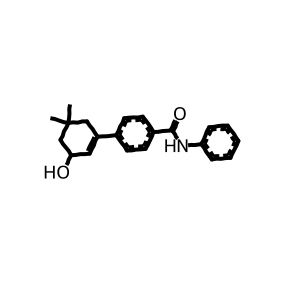 CC1(C)CC(c2ccc(C(=O)Nc3ccccc3)cc2)=CC(O)C1